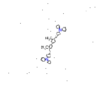 Cc1cc(-c2ccc(C=Cc3ccc(N(c4ccccc4)c4ccccc4)cc3)c(C)c2)ccc1C=Cc1ccc(N(c2ccccc2)c2ccccc2)cc1